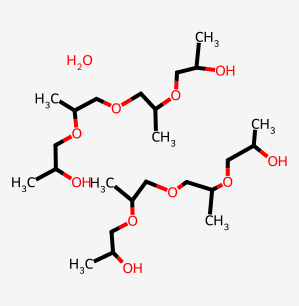 CC(O)COC(C)COCC(C)OCC(C)O.CC(O)COC(C)COCC(C)OCC(C)O.O